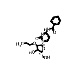 CCCOC1C(O)[C@@H](CO)O[C@H]1n1ccc(NC(=O)c2ccccc2)nc1=O